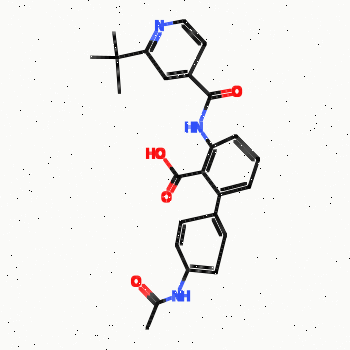 CC(=O)Nc1ccc(-c2cccc(NC(=O)c3ccnc(C(C)(C)C)c3)c2C(=O)O)cc1